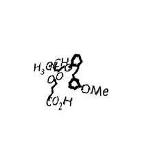 COc1cccc(CCc2ccccc2OCC(CN(C)C)OC(=O)CCCCC(=O)O)c1